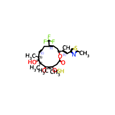 C/C(=C\c1csc(C)n1)[C@@H]1C/C=C(/C(F)(F)F)C/C=C/[C@H](C)[C@H](O)[C@@H](C)C(=O)C(C)(C)[C@@H](OS)CC(=O)O1